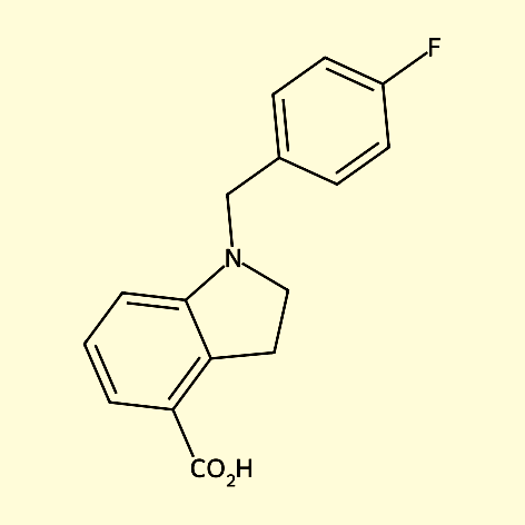 O=C(O)c1cccc2c1CCN2Cc1ccc(F)cc1